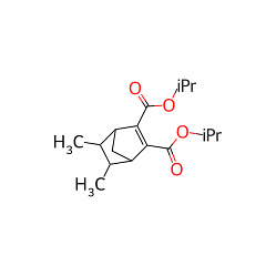 CC(C)OC(=O)C1=C(C(=O)OC(C)C)C2CC1C(C)C2C